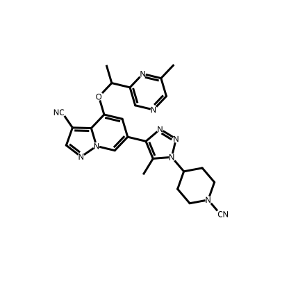 Cc1cncc(C(C)Oc2cc(-c3nnn(C4CCN(C#N)CC4)c3C)cn3ncc(C#N)c23)n1